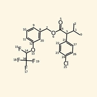 CC(C)C(C(=O)OCc1cccc(OC(F)C(F)(F)F)c1)c1ccc(Cl)cc1